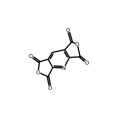 O=c1oc(=O)c2nc3c(=O)oc(=O)c3cc12